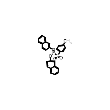 Cc1ccc(S(=O)(=O)P(Oc2ccc3ccccc3c2)Oc2ccc3ccccc3c2)cc1